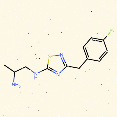 CC(N)CNc1nc(Cc2ccc(F)cc2)ns1